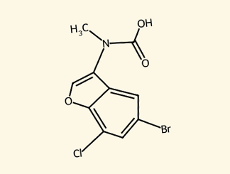 CN(C(=O)O)c1coc2c(Cl)cc(Br)cc12